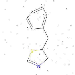 C1=NCC(Cc2ccccc2)S1